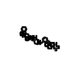 CC1(C)Cc2cccc(CN3CCC(CNC(=O)Cc4noc5ccccc45)CC3)c2O1